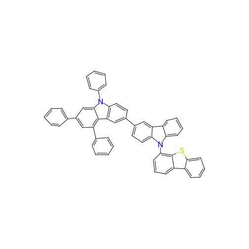 c1ccc(-c2cc(-c3ccccc3)c3c4cc(-c5ccc6c(c5)c5ccccc5n6-c5cccc6c5sc5ccccc56)ccc4n(-c4ccccc4)c3c2)cc1